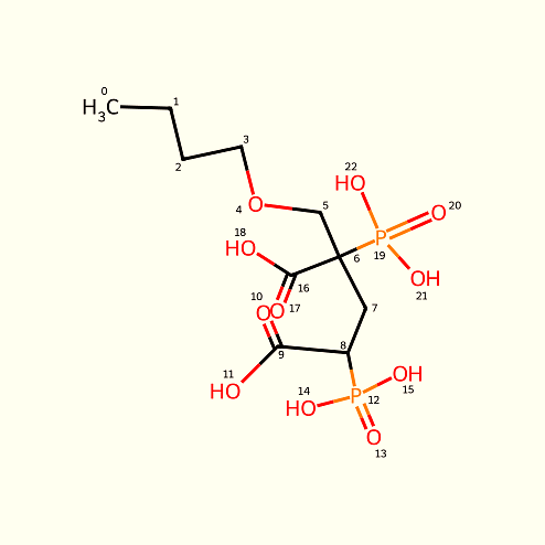 CCCCOCC(CC(C(=O)O)P(=O)(O)O)(C(=O)O)P(=O)(O)O